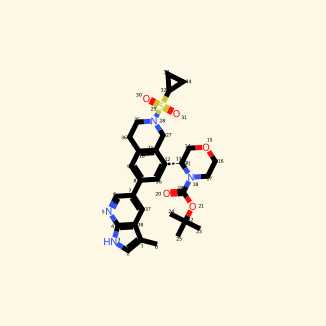 Cc1c[nH]c2ncc(-c3cc4c(c([C@@H]5COCCN5C(=O)OC(C)(C)C)c3)CN(S(=O)(=O)C3CC3)CC4)cc12